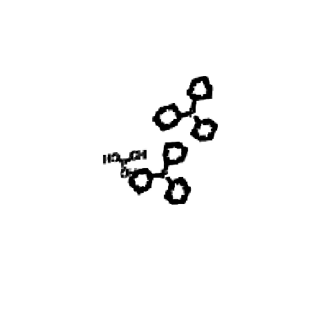 OP(O)O.c1ccc(P(c2ccccc2)c2ccccc2)cc1.c1ccc(P(c2ccccc2)c2ccccc2)cc1